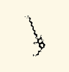 CCCCCCCC/C=C/Oc1c(O)c2cc(OCCO)ccc2oc1=O